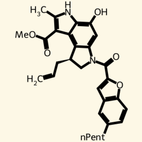 C=CC[C@@H]1CN(C(=O)c2cc3cc(CCCCC)ccc3o2)c2cc(O)c3[nH]c(C)c(C(=O)OC)c3c21